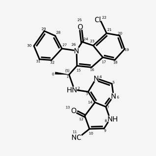 C[C@H](Nc1ncnc2[nH]cc(C#N)c(=O)c12)c1cc2cccc(Cl)c2c(=O)n1-c1ccccc1